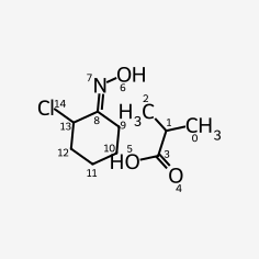 CC(C)C(=O)O.ON=C1CCCCC1Cl